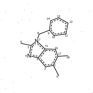 Cc1cc2nc(C)n(Cc3ccccc3)c2cc1C